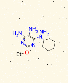 CCOc1nc(N)c(N)c(N(N)C2CCCCC2)n1